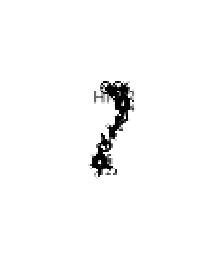 Cc1ccc(SON=CCCCOc2ccc3c(c2)NC(=O)OC3(C)C)cc1C